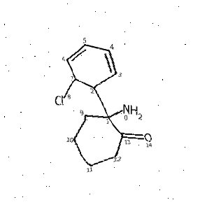 NC1(C2C=CC=CC2Cl)CCCCC1=O